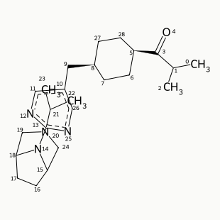 CC(C)C(=O)[C@H]1CC[C@@H](Cc2cnc(N3C4CCC3CN(C(C)C)C4)nc2)CC1